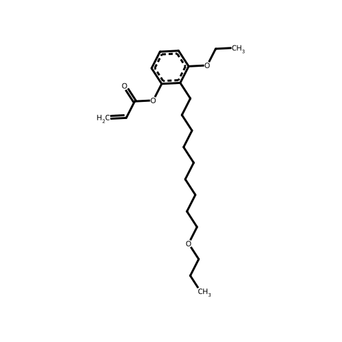 C=CC(=O)Oc1cccc(OCC)c1CCCCCCCCCOCCC